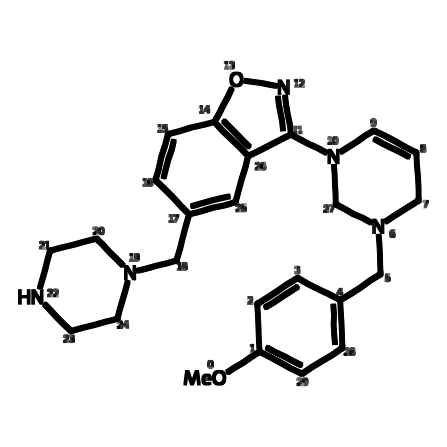 COc1ccc(CN2CC=CN(c3noc4ccc(CN5CCNCC5)cc34)C2)cc1